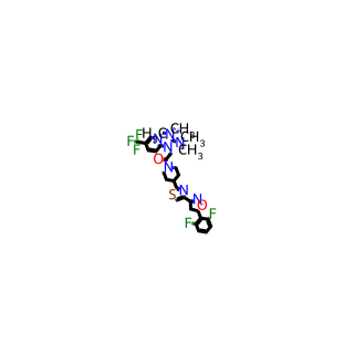 CN(C)C(N(CC(=O)N1CCC(c2nc(C3=NOC(c4c(F)cccc4F)C3)cs2)CC1)c1ccc(C(F)(F)F)cn1)=[N+](C)C